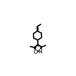 CC=C1CCC(c2c(C)noc2C)CC1